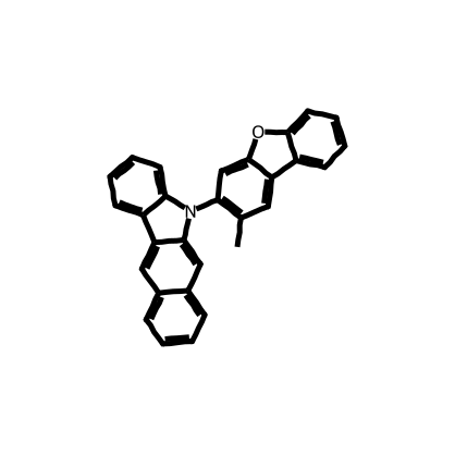 Cc1cc2c(cc1-n1c3ccccc3c3cc4ccccc4cc31)oc1ccccc12